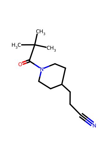 CC(C)(C)C(=O)N1CCC(CCC#N)CC1